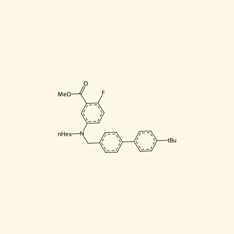 CCCCCCN(Cc1ccc(-c2ccc(C(C)(C)C)cc2)cc1)c1ccc(F)c(C(=O)OC)c1